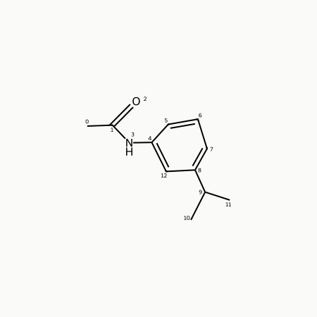 CC(=O)Nc1cccc(C(C)C)c1